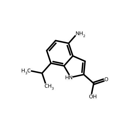 CC(C)c1ccc(N)c2cc(C(=O)O)[nH]c12